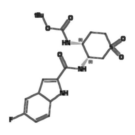 CC(C)(C)OC(=O)N[C@@H]1CCS(=O)(=O)C[C@@H]1NC(=O)C1=CC2C=C(F)C=CC2N1